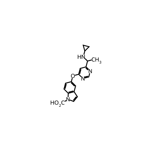 CC(NC1CC1)c1cc(Oc2ccc3c(ccn3C(=O)O)c2)ncn1